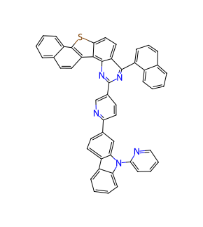 c1ccc(-n2c3ccccc3c3ccc(-c4ccc(-c5nc(-c6cccc7ccccc67)c6ccc7sc8c9ccccc9ccc8c7c6n5)cn4)cc32)nc1